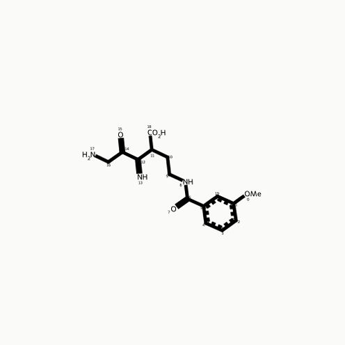 COc1cccc(C(=O)NCCC(C(=N)C(=O)CN)C(=O)O)c1